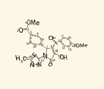 COC(=O)c1ccc(C2C(C(=O)c3ccc(OC)cc3)=C(O)C(=O)N2c2nnc(C)s2)cc1